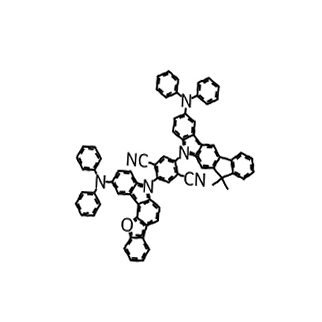 CC1(C)c2ccccc2-c2cc3c4cc(N(c5ccccc5)c5ccccc5)ccc4n(-c4cc(C#N)c(-n5c6ccc(N(c7ccccc7)c7ccccc7)cc6c6c7oc8ccccc8c7ccc65)cc4C#N)c3cc21